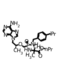 CCCOC(=O)C(C)(C)NP(=O)(CO[C@@H](C)Cn1cnc2c(N)ncnc21)NCc1ccc(C(C)C)cc1